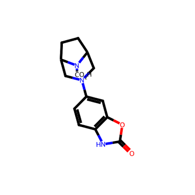 O=C(O)N1C2CCC1CN(c1ccc3[nH]c(=O)oc3c1)C2